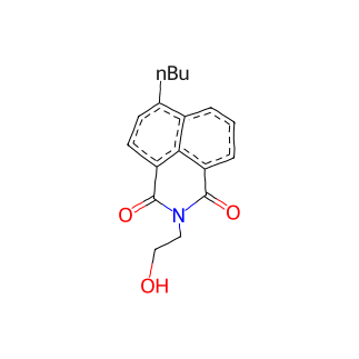 CCCCc1ccc2c3c(cccc13)C(=O)N(CCO)C2=O